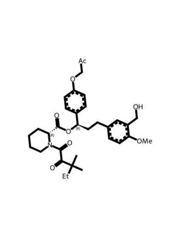 CCC(C)(C)C(=O)C(=O)N1CCCC[C@@H]1C(=O)O[C@H](CCc1ccc(OC)c(CO)c1)c1ccc(OCC(C)=O)cc1